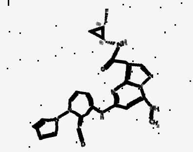 CNc1cc(NC2=CC=CN(n3cccc3)C2=C=O)nc2c(C(=O)N[C@@H]3C[C@@H]3F)cnn12